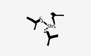 C=C(C)[S][Sb]([S]C(=C)C)[S]C(=C)C